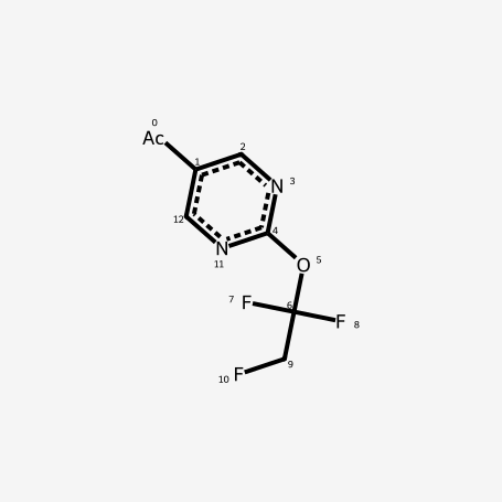 CC(=O)c1cnc(OC(F)(F)CF)nc1